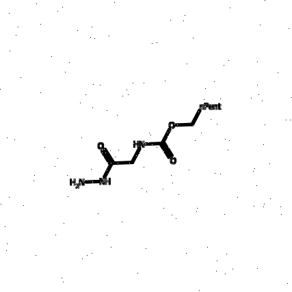 CCCCCCOC(=O)NCC(=O)NN